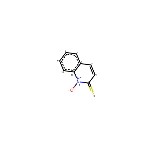 [O-][NH+]1C(=S)C=Cc2ccccc21